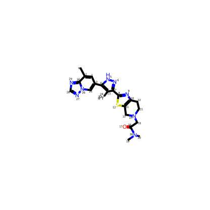 Cc1cc(-c2[nH]nc(-c3nc4c(s3)CN(CC(=O)N(C)C)CC4)c2C(C)C)cn2ncnc12